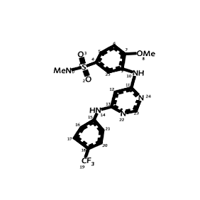 CNS(=O)(=O)c1ccc(OC)c(Nc2cc(Nc3ccc(C(F)(F)F)cc3)ncn2)c1